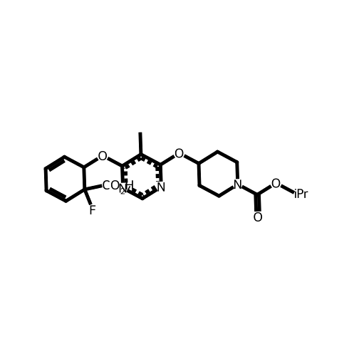 Cc1c(OC2CCN(C(=O)OC(C)C)CC2)ncnc1OC1C=CC=CC1(F)C(=O)O